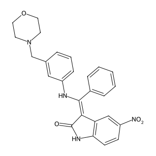 O=C1Nc2ccc([N+](=O)[O-])cc2C1=C(Nc1cccc(CN2CCOCC2)c1)c1ccccc1